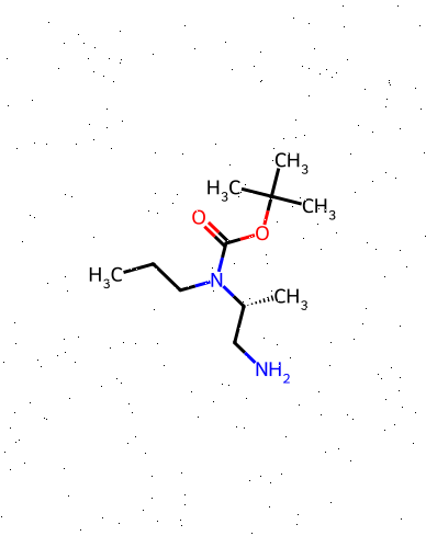 CCCN(C(=O)OC(C)(C)C)[C@H](C)CN